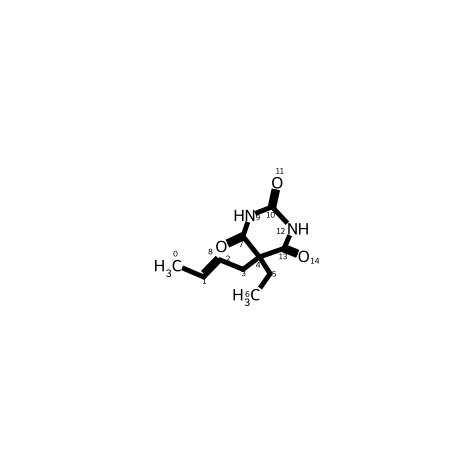 CC=CCC1(CC)C(=O)NC(=O)NC1=O